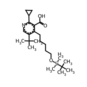 CC(C)(C)c1cnc(C2CC2)c(C(=O)O)c1CCCCCO[Si](C)(C)C(C)(C)C